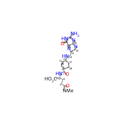 CNC(=O)CC[C@@H](NC(=O)c1ccc(NCc2cnc3nc(N)[nH]c(=O)c3n2)cc1)C(=O)O